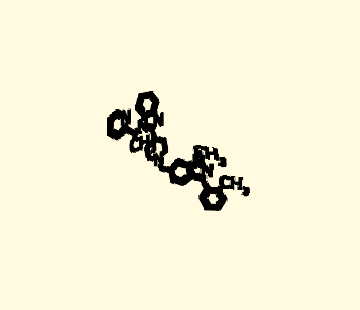 Cc1ccccc1-c1nn(C)c2cc(CN3CCC(c4nc5ccccc5n4C(C)c4ccccn4)CC3)ccc12